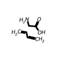 C=CC=C.NCC(=O)O